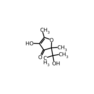 CC1=C(O)C(=O)C(C)(C(C)(C)O)O1